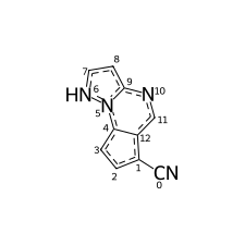 N#Cc1ccc2n3[nH]ccc3ncc1-2